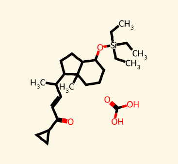 CC[Si](CC)(CC)OC1CCCC2(C)C(C(C)C=CC(=O)C3CC3)CCC12.O=C(O)O